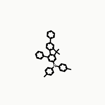 Cc1ccc(N(c2ccc(C)cc2)c2cc(-c3ccccc3)c3c(c2)C(C)(C)c2cc(-c4ccccc4)ccc2-3)cc1